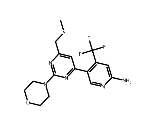 CSCc1cc(-c2cnc(N)cc2C(F)(F)F)nc(N2CCOCC2)n1